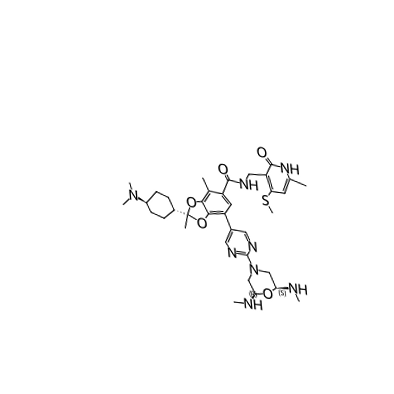 CN[C@H]1CN(c2ncc(-c3cc(C(=O)NCc4c(SC)cc(C)[nH]c4=O)c(C)c4c3OC(C)([C@H]3CC[C@H](N(C)C)CC3)O4)cn2)C[C@@H](NC)O1